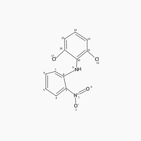 O=[N+]([O-])c1ccccc1Nc1c(Cl)cccc1Cl